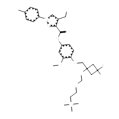 COc1cc(NC(=O)c2nn(-c3ccc(Cl)cc3)cc2CO)ccc1OCC1(OCOCC[Si](C)(C)C)CC(F)(F)C1